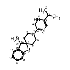 CC(C)C1=CN=C(N2CCC3(CC2)Oc2ccccc2[C@H]3N)CN1